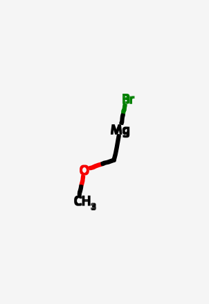 CO[CH2][Mg][Br]